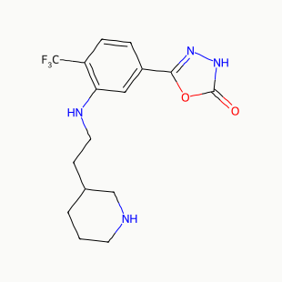 O=c1[nH]nc(-c2ccc(C(F)(F)F)c(NCCC3CCCNC3)c2)o1